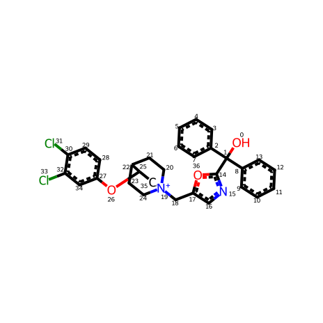 OC(c1ccccc1)(c1ccccc1)c1ncc(C[N+]23CCC(CC2)C(Oc2ccc(Cl)c(Cl)c2)C3)o1